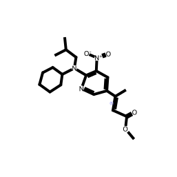 COC(=O)/C=C(\C)c1cnc(N(CC(C)C)C2CCCCC2)c([N+](=O)[O-])c1